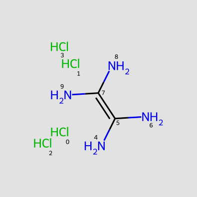 Cl.Cl.Cl.Cl.NC(N)=C(N)N